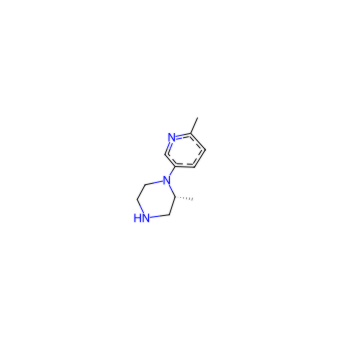 Cc1ccc(N2CCNC[C@H]2C)cn1